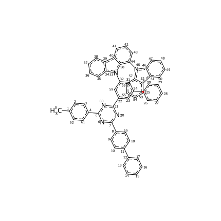 Cc1ccc(-c2nc(-c3ccc(-c4ccccc4)cc3)nc(-c3cc(-c4ccccc4)cc(-n4c5ccccc5c5cccc(-n6c7ccccc7c7ccccc76)c54)c3)n2)cc1